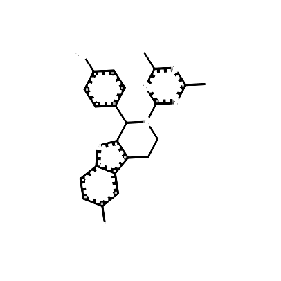 Cc1nc(C)nc(N2CCc3c([nH]c4ccc(Cl)cc34)C2c2ccc(C#N)cc2)n1